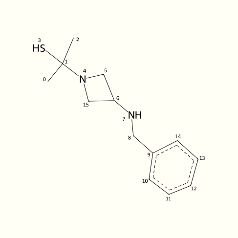 CC(C)(S)N1CC(NCc2ccccc2)C1